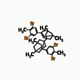 Cc1c(Br)cc(C23CC4(C)CC(C)(C2)CC(C25CC6(C)CC(C)(CC(c7cc(Br)c(C)c(Br)c7)(C6)C2)C5)(C4)C3)cc1Br